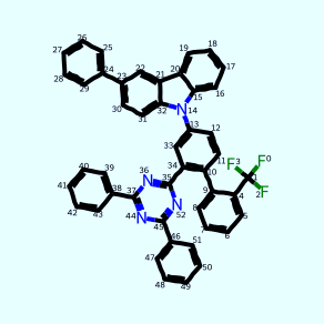 FC(F)(F)c1ccccc1-c1ccc(-n2c3ccccc3c3cc(-c4ccccc4)ccc32)cc1-c1nc(-c2ccccc2)nc(-c2ccccc2)n1